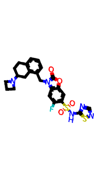 O=c1oc2cc(S(=O)(=O)Nc3ncns3)c(F)cc2n1Cc1cccc2c1CC(N1CCC1)CC2